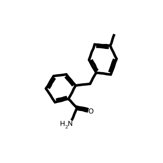 Cc1ccc(Cc2ccccc2C(N)=O)cc1